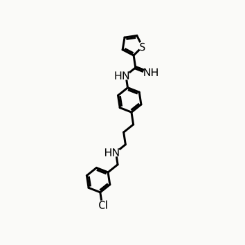 N=C(Nc1ccc(CCCNCc2cccc(Cl)c2)cc1)c1cccs1